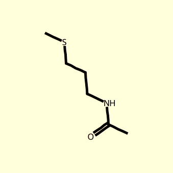 CSCCCNC(C)=O